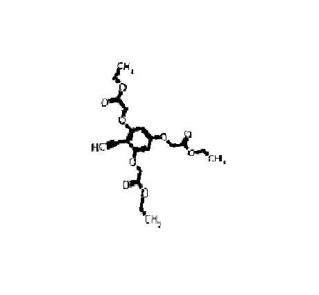 C#Cc1c(OCC(=O)OCC)cc(OCC(=O)OCC)cc1OCC(=O)OCC